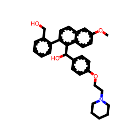 COc1ccc2c(C(O)c3ccc(OCCN4CCCCC4)cc3)c(-c3ccccc3CO)ccc2c1